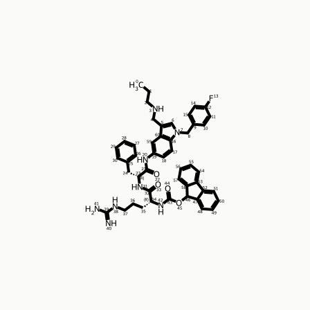 CCCNCc1cn(Cc2ccc(F)cc2)c2ccc(NC(=O)[C@@H](Cc3ccccc3)NC(=O)[C@@H](CCCNC(=N)N)NC(=O)OC3c4ccccc4-c4ccccc43)cc12